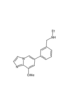 CCNCc1cccc(-c2cc(OC)c3nccn3c2)c1